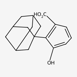 O=C(O)c1cccc(O)c1C12CC3CC(CC(C3)C1)C2